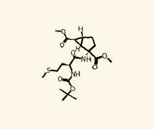 COC(=O)[C@H]1[C@@H]2CC[C@@](NC(=O)[C@H](CCSC)NC(=O)OC(C)(C)C)(C(=O)OC)[C@@H]21